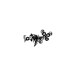 CCCSc1nc(N(C(=O)OC(C)(C)C)[C@@H]2C[C@H]2c2ccc(F)c(F)c2)c2nnn([C@@H]3C[C@H](COC(c4ccccc4)(c4ccc(OC)cc4)c4ccc(OC)cc4)O[C@H]3COC)c2n1